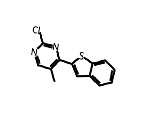 Cc1cnc(Cl)nc1-c1cc2ccccc2s1